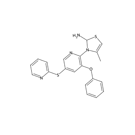 CC1=CSC(N)N1c1ncc(Sc2ccccn2)cc1Oc1ccccc1